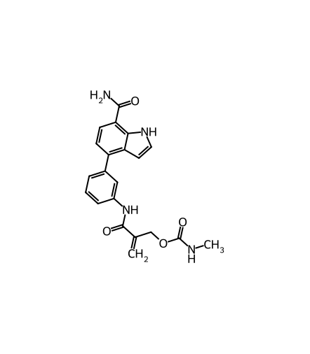 C=C(COC(=O)NC)C(=O)Nc1cccc(-c2ccc(C(N)=O)c3[nH]ccc23)c1